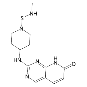 CNSN1CCC(Nc2ncc3ccc(=O)[nH]c3n2)CC1